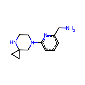 NCc1cccc(N2CCNC3(CC3)C2)n1